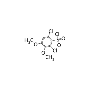 COc1cc(Cl)c(S(=O)(=O)Cl)c(Cl)c1OC